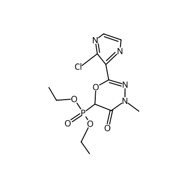 CCOP(=O)(OCC)C1OC(c2nccnc2Cl)=NN(C)C1=O